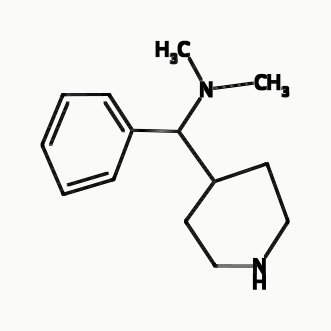 CN(C)C(c1ccccc1)C1CCNCC1